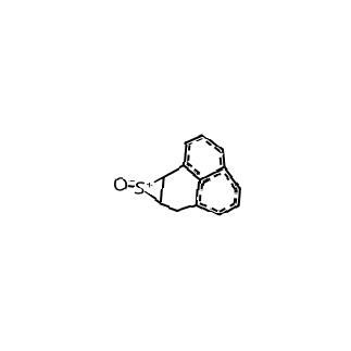 [O-][S+]1C2Cc3cccc4cccc(c34)C21